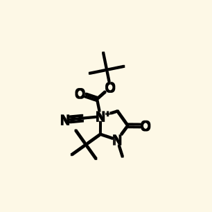 CN1C(=O)C[N+](C#N)(C(=O)OC(C)(C)C)C1C(C)(C)C